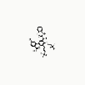 O=C(Nc1ccccc1F)Nc1cc(-c2cc(F)ccc2C(=O)O)cc(C/C=C/C(F)(F)F)c1OCCC(F)(F)F